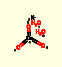 O.O.[K].[O]=[Os](=[O])=[O]